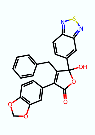 O=C1OC(O)(c2ccc3nsnc3c2)C(Cc2ccccc2)=C1c1ccc2c(c1)OCO2